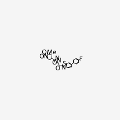 COC(=O)N1CCC(c2nnc(C(=O)c3nc4ccc(-c5ccc(F)cc5)cc4s3)o2)CC1